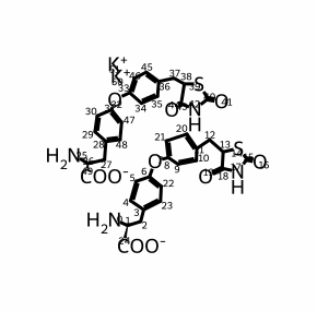 N[C@@H](Cc1ccc(Oc2ccc(CC3SC(=O)NC3=O)cc2)cc1)C(=O)[O-].N[C@@H](Cc1ccc(Oc2ccc(CC3SC(=O)NC3=O)cc2)cc1)C(=O)[O-].[K+].[K+]